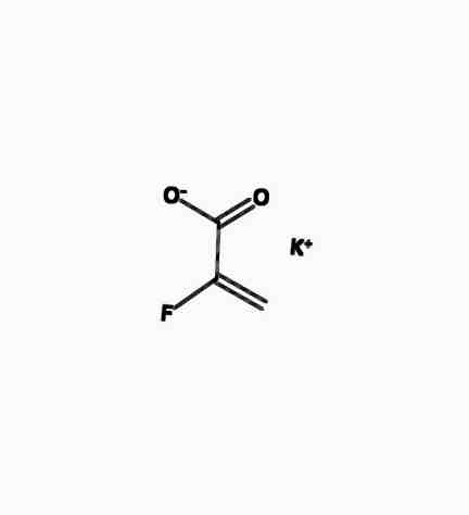 C=C(F)C(=O)[O-].[K+]